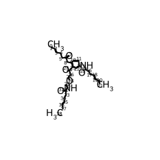 CC/C=C/CCC(=O)Cc1ccc(NC(=O)CC/C=C/CC)cc1C(=O)CCOCNC(=O)CC/C=C/CC